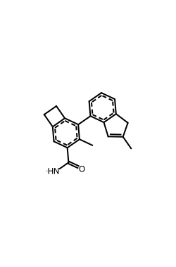 CC1=Cc2c(cccc2-c2c(C)c(C([NH])=O)cc3c2CC3)C1